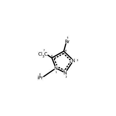 CC(C)n1nnc(Br)c1C(Cl)(Cl)Cl